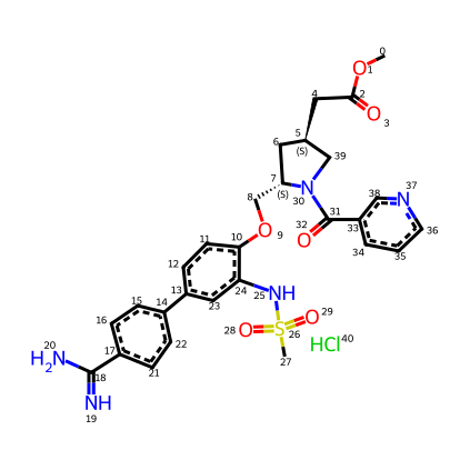 COC(=O)C[C@@H]1C[C@@H](COc2ccc(-c3ccc(C(=N)N)cc3)cc2NS(C)(=O)=O)N(C(=O)c2cccnc2)C1.Cl